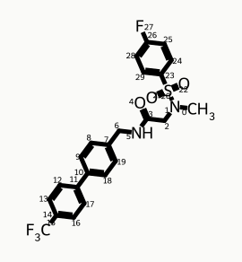 CN(CC(=O)NCc1ccc(-c2ccc(C(F)(F)F)cc2)cc1)S(=O)(=O)c1ccc(F)cc1